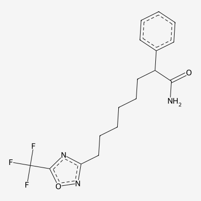 NC(=O)C(CCCCCCc1noc(C(F)(F)F)n1)c1ccccc1